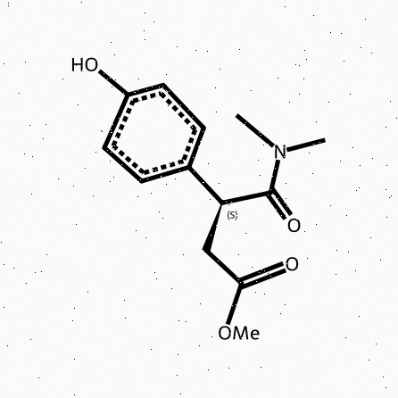 COC(=O)C[C@H](C(=O)N(C)C)c1ccc(O)cc1